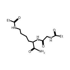 CCC(=O)NCCCCC(NC(=O)CNC(=O)CC)C(N)=O